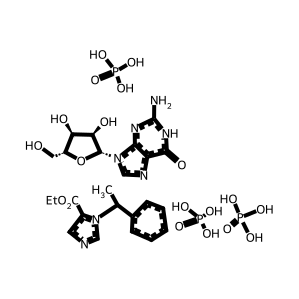 CCOC(=O)c1cncn1C(C)c1ccccc1.Nc1nc2c(ncn2[C@@H]2O[C@H](CO)[C@@H](O)[C@H]2O)c(=O)[nH]1.O=P(O)(O)O.O=P(O)(O)O.O=P(O)(O)O